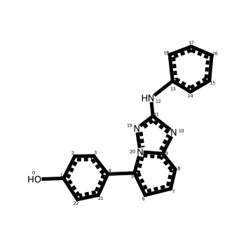 Oc1ccc(-c2cccc3nc(Nc4ccccc4)nn23)cc1